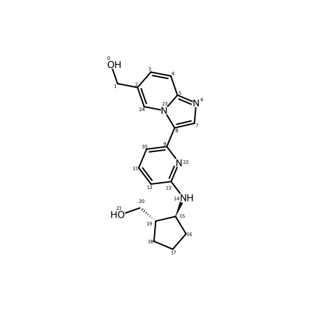 OCc1ccc2ncc(-c3cccc(N[C@H]4CCC[C@@H]4CO)n3)n2c1